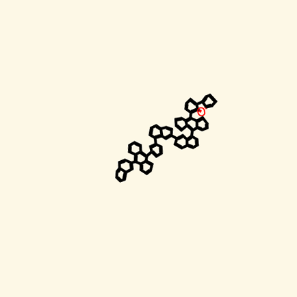 c1cc(-c2cccc3ccc(-c4ccc5cccc(-c6c7ccccc7c(-c7cccc8c7oc7ccccc78)c7ccccc67)c5c4)cc23)cc(-c2c3ccccc3c(-c3ccc4ccccc4c3)c3ccccc23)c1